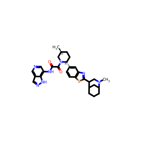 C[C@H]1CC[C@H](c2ccc3sc(C4CN(C)C5CCCC4C5)nc3c2)N(C(=O)C(=O)Nc2cncc3cn[nH]c23)C1